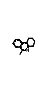 Cc1nc2c(c3ccccc13)CCCC2